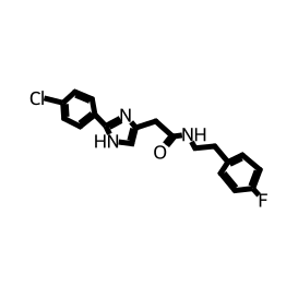 O=C(Cc1c[nH]c(-c2ccc(Cl)cc2)n1)NCCc1ccc(F)cc1